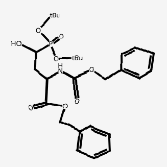 CC(C)(C)OP(=O)(OC(C)(C)C)C(O)CC(NC(=O)OCc1ccccc1)C(=O)OCc1ccccc1